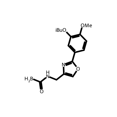 BC(=O)NCc1coc(-c2ccc(OC)c(OCC(C)C)c2)n1